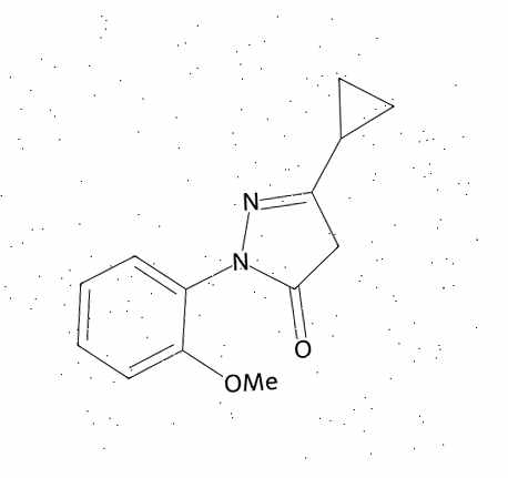 COc1ccccc1N1N=C(C2CC2)CC1=O